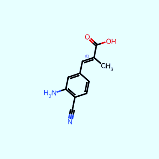 C/C(=C\c1ccc(C#N)c(N)c1)C(=O)O